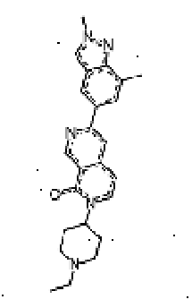 CCN1CCC(n2ccc3cc(-c4cc(C)c5nn(C)cc5c4)ncc3c2=O)CC1